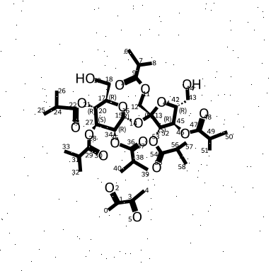 CC(=O)C(C)=O.CC(C)C(=O)OC[C@@]1(O[C@H]2O[C@H](CO)[C@@H](OC(=O)C(C)C)[C@H](OC(=O)C(C)C)[C@H]2OC(=O)C(C)C)O[C@H](CO)[C@@H](OC(=O)C(C)C)[C@@H]1OC(=O)C(C)C